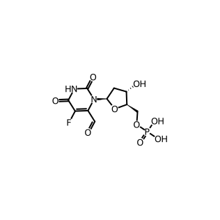 O=Cc1c(F)c(=O)[nH]c(=O)n1[C@H]1C[C@H](O)[C@@H](COP(=O)(O)O)O1